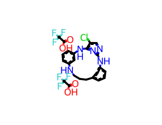 Clc1cnc2nc1Nc1cccc(c1)NCCCc1cccc(c1)N2.O=C(O)C(F)(F)F.O=C(O)C(F)(F)F